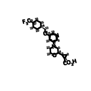 O=C(O)C1CC1C1CN(c2cncc(OC[C@H]3CC[C@H](C(F)(F)F)CC3)c2)CCO1